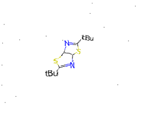 CC(C)(C)C1=NC2SC(C(C)(C)C)=NC2S1